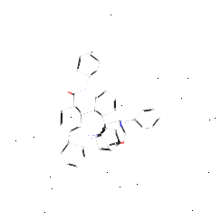 O=c1c2ccc3c4ccccc4n(-c4ccccc4)c3c2c2c3c4ccccc4n(-c4ccccc4)c3ccc2n1-c1ccccc1